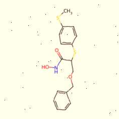 CSc1ccc(SC(COCc2ccccc2)C(=O)NO)cc1